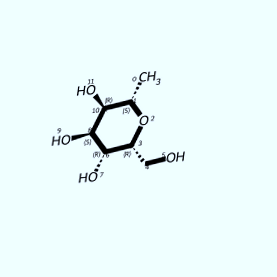 C[C@@H]1O[C@H](CO)[C@H](O)[C@@H](O)[C@H]1O